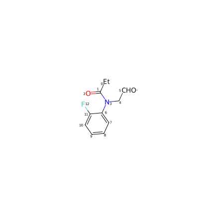 CCC(=O)N(C[C]=O)c1ccccc1F